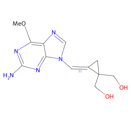 COc1nc(N)nc2c1ncn2/C=C1\CC1(CO)CO